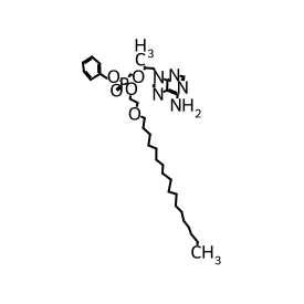 CCCCCCCCCCCCCCCCCCOCCOP(=O)(COC(C)Cn1cnc2c(N)ncnc21)OCc1ccccc1